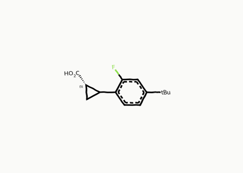 CC(C)(C)c1ccc(C2C[C@@H]2C(=O)O)c(F)c1